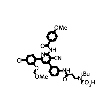 COCOc1cc(Cl)ccc1-c1cc(-c2cccc(NC(=O)CCN(C(=O)O)C(C)(C)C)c2)c(C#N)c(NC(=O)c2ccc(OC)cc2)n1